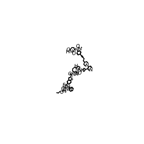 CCCOC(=O)[C@H](C)NP(=O)(Oc1ccccc1)[C@@H](F)c1ccc2sc(C(=O)N[C@H]3CCC[C@H]4CC[C@@H](C(=O)N5CC(c6cnccc6N6CCC(CCC#Cc7ccc8c(c7)n(C)c(=O)n8C7CCC(=O)NC7=O)CC6)C5)N4C3=O)cc2c1